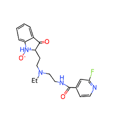 CCN(CCNC(=O)c1ccnc(F)c1)CCC1C(=O)c2ccccc2[NH+]1[O-]